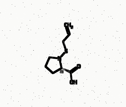 C=CCSN1CCC[C@H]1C(=O)O